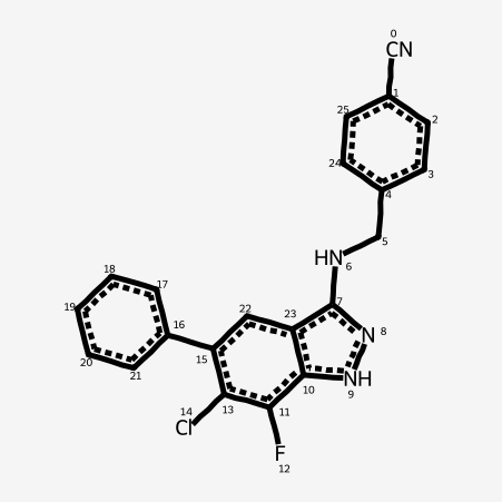 N#Cc1ccc(CNc2n[nH]c3c(F)c(Cl)c(-c4ccccc4)cc23)cc1